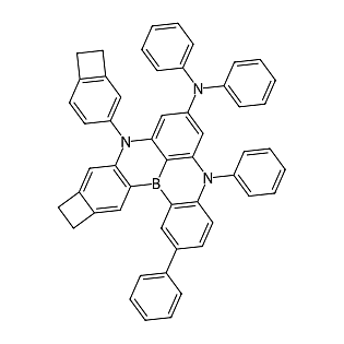 c1ccc(-c2ccc3c(c2)B2c4cc5c(cc4N(c4ccc6c(c4)CC6)c4cc(N(c6ccccc6)c6ccccc6)cc(c42)N3c2ccccc2)CC5)cc1